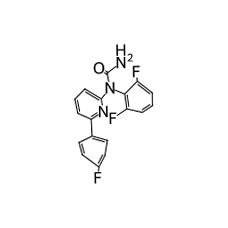 NC(=O)N(c1cccc(-c2ccc(F)cc2)n1)c1c(F)cccc1F